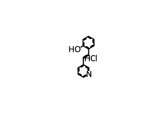 Cl.Oc1ccccc1C=Cc1cccnc1